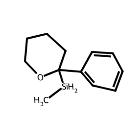 C[SiH2]C1(c2ccccc2)CCCCO1